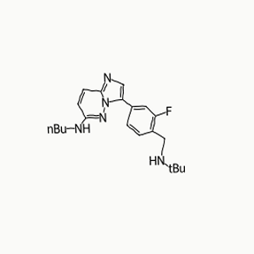 CCCCNc1ccc2ncc(-c3ccc(CNC(C)(C)C)c(F)c3)n2n1